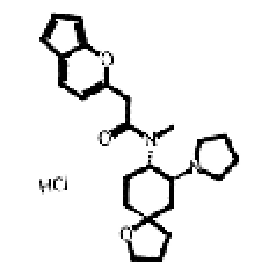 CN(C(=O)Cc1ccc2cccc-2o1)[C@H]1CC[C@]2(CCCO2)C[C@@H]1N1CCCC1.Cl